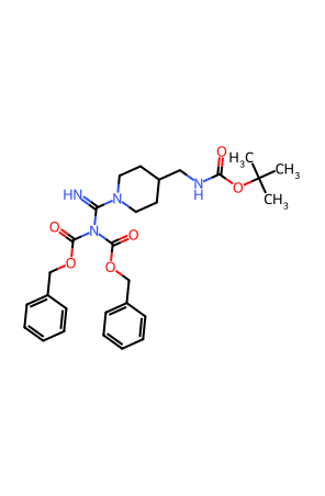 CC(C)(C)OC(=O)NCC1CCN(C(=N)N(C(=O)OCc2ccccc2)C(=O)OCc2ccccc2)CC1